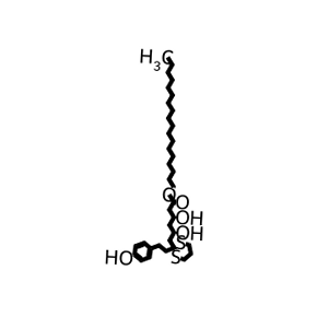 CCCCCCCCCCCCCCCCCCOC(=O)C[C@H](O)C[C@H](O)CC1(CCc2ccc(O)cc2)SCCCS1